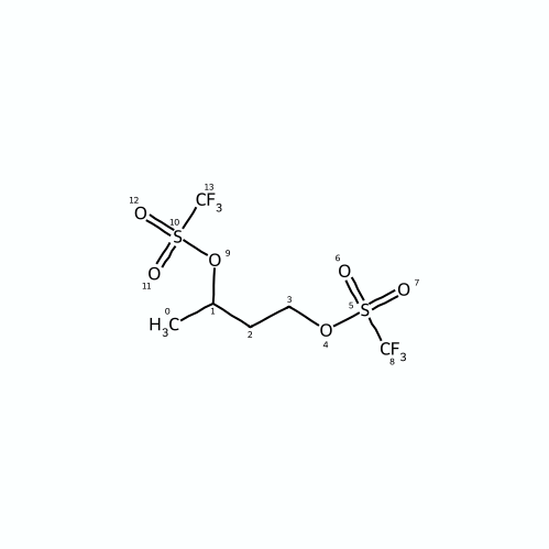 CC(CCOS(=O)(=O)C(F)(F)F)OS(=O)(=O)C(F)(F)F